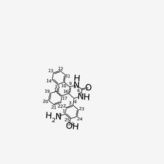 Nc1cc(C2NC(=O)NC(c3ccccc3)=C2c2ccccc2)ccc1O